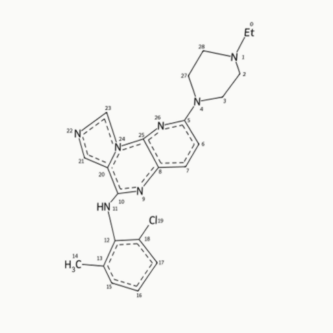 CCN1CCN(c2ccc3nc(Nc4c(C)cccc4Cl)c4cncn4c3n2)CC1